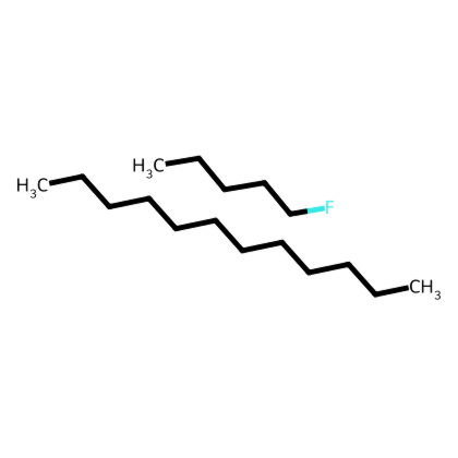 CCCCCCCCCCCC.CCCCCF